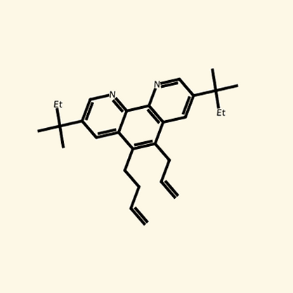 C=CCCc1c(CC=C)c2cc(C(C)(C)CC)cnc2c2ncc(C(C)(C)CC)cc12